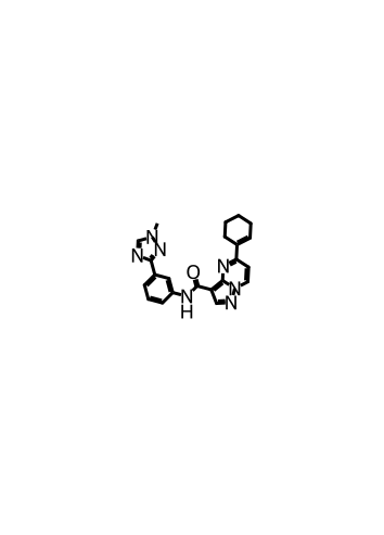 Cn1cnc(-c2cccc(NC(=O)c3cnn4ccc(C5=CCCCC5)nc34)c2)n1